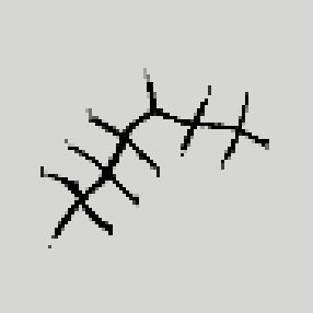 I[C](C(I)(I)C(I)(I)I)C(I)(I)C(I)(I)C(I)(I)I